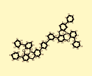 c1ccc(-c2ccc3c(c2)B2c4cccc(-c5ccccc5)c4Oc4ccc(-c5cccc(-c6ccc(-c7ccc8c(c7)B7c9cccc(-c%10ccccc%10)c9Oc9c(-c%10ccccc%10)ccc(c97)C8)cc6)c5)c(c42)C3)cc1